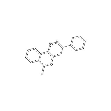 O=c1oc2cc(-c3ccccc3)nnc2c2ccccc12